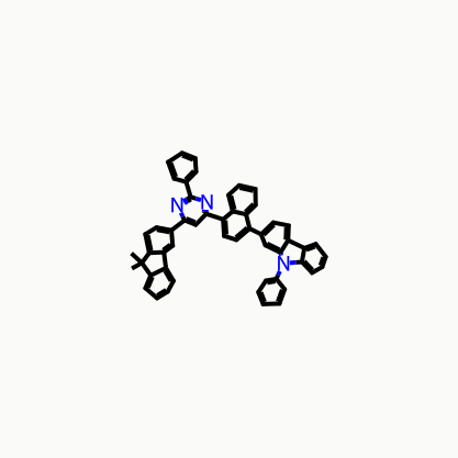 CC1(C)c2ccccc2-c2cc(-c3cc(-c4ccc(-c5ccc6c7ccccc7n(-c7ccccc7)c6c5)c5ccccc45)nc(-c4ccccc4)n3)ccc21